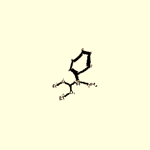 CCOC(OCC)[SiH](N)c1ccccc1